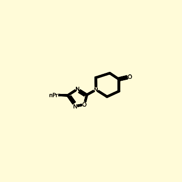 CCCc1noc(N2CCC(=O)CC2)n1